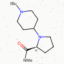 CNC(=O)[C@@H]1CCCN1C1CCN(C(C)(C)C)CC1